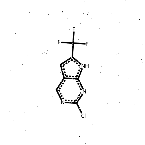 FC(F)(F)c1cc2cnc(Cl)nc2[nH]1